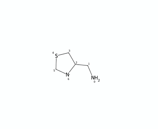 NCC1CSC[N]1